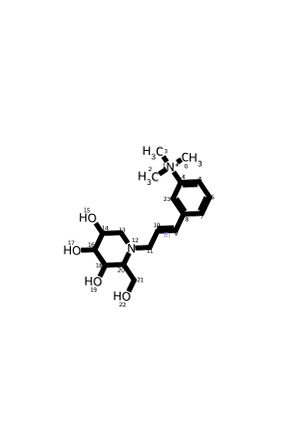 C[N+](C)(C)c1cccc(/C=C/CN2CC(O)C(O)C(O)C2CO)c1